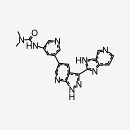 CN(C)C(=O)Nc1cncc(-c2cnc3[nH]nc(-c4nc5ccncc5[nH]4)c3c2)c1